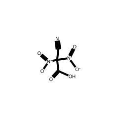 N#CC(C(=O)O)([N+](=O)[O-])[N+](=O)[O-]